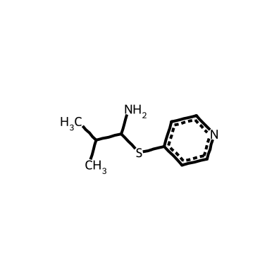 CC(C)C(N)Sc1ccncc1